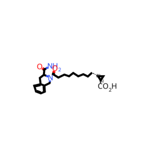 NC(=O)C1Cc2ccccc2CN1C(=O)CCCCCCCC[C@@H]1C[C@@H]1C(=O)O